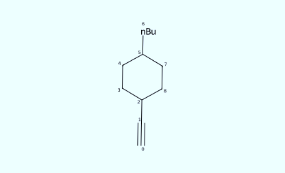 C#CC1CCC(CCCC)CC1